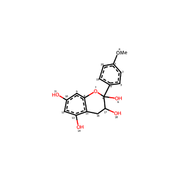 COc1ccc(C2(O)Oc3cc(O)cc(O)c3CC2O)cc1